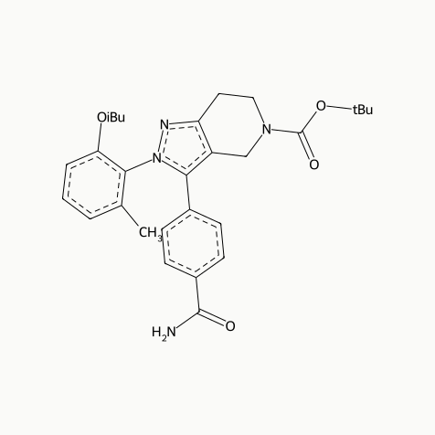 Cc1cccc(OCC(C)C)c1-n1nc2c(c1-c1ccc(C(N)=O)cc1)CN(C(=O)OC(C)(C)C)CC2